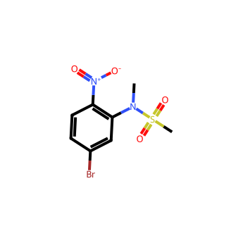 CN(c1cc(Br)ccc1[N+](=O)[O-])S(C)(=O)=O